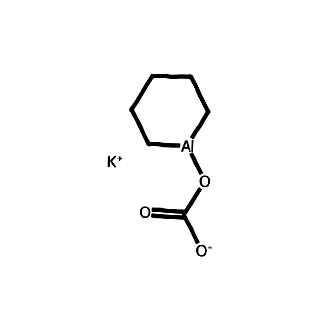 O=C([O-])[O][Al]1[CH2]CCC[CH2]1.[K+]